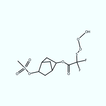 CS(=O)(=O)OC1CC2CC1CC2OC(=O)C(F)(F)SOOO